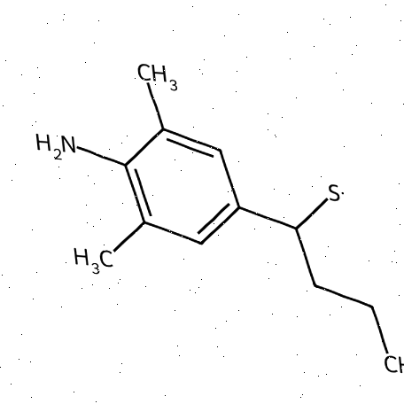 CCCC([S])c1cc(C)c(N)c(C)c1